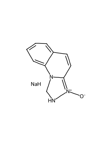 [NaH].[O-][N+]1=C2C=Cc3ccccc3N2CN1